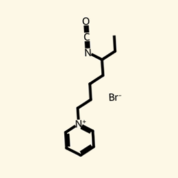 CCC(CCCC[n+]1ccccc1)N=C=O.[Br-]